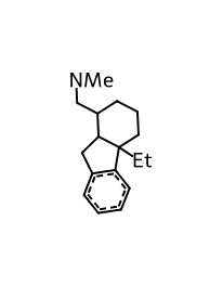 CCC12CCCC(CNC)C1Cc1ccccc12